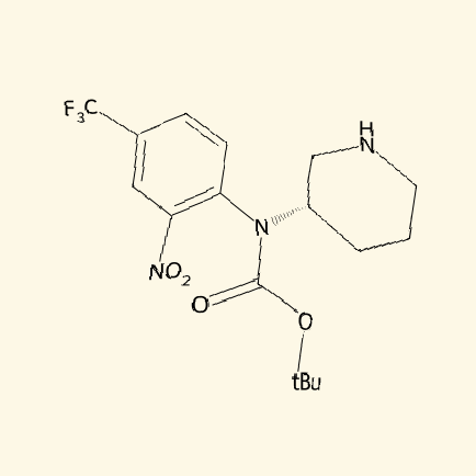 CC(C)(C)OC(=O)N(c1ccc(C(F)(F)F)cc1[N+](=O)[O-])[C@H]1CCCNC1